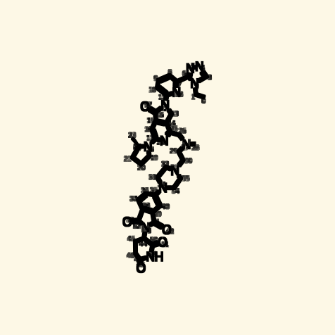 CCn1cnnc1-c1cccc(N2Cc3c(cc(N4CCC[C@H]4C)nc3CN(C)CCN3CCN(c4ccc5c(c4)C(=O)N(C4CCC(=O)NC4=O)C5=O)CC3)C2=O)n1